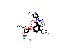 CCc1c(C(F)(F)F)ccc(Oc2ccc(OC(F)(F)F)cc2OC)c1C(=O)Nc1ccnc(C(C)=O)c1